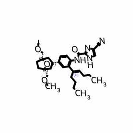 CCC/C=C(\CCCC)c1cc([C@@H]2C[C@@]3(COC)CC[C@@](COI)(C2)O3)ccc1NC(=O)c1nc(C#N)c[nH]1